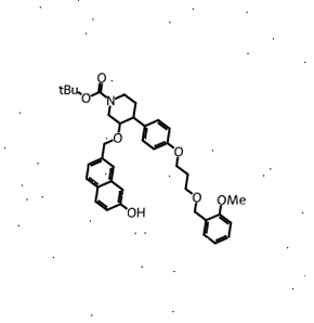 COc1ccccc1COCCCOc1ccc(C2CCN(C(=O)OC(C)(C)C)CC2OCc2ccc3ccc(O)cc3c2)cc1